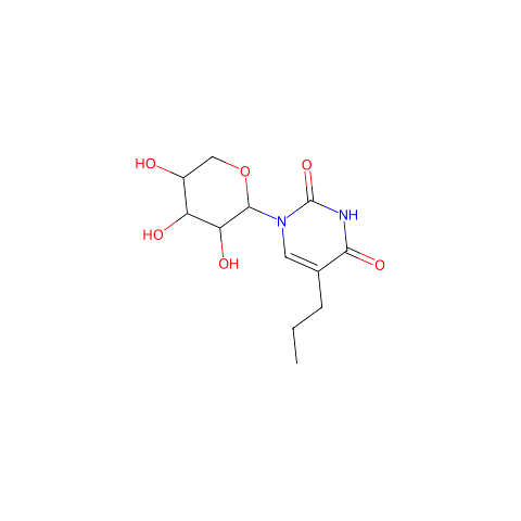 CCCc1cn(C2OCC(O)C(O)C2O)c(=O)[nH]c1=O